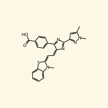 Cc1cc(C2=NC(=CC=C3Sc4ccccc4N3C)C(c3ccc(C(=O)O)cc3)=N2)nn1C